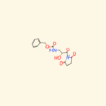 O=C(NCC(O)C(=O)N1C(=O)CCC1=O)OCc1ccccc1